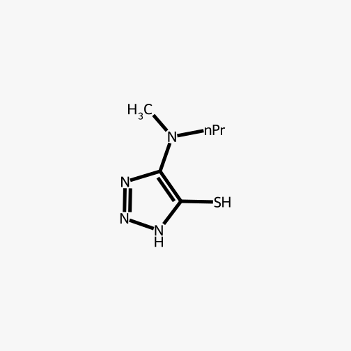 CCCN(C)c1nn[nH]c1S